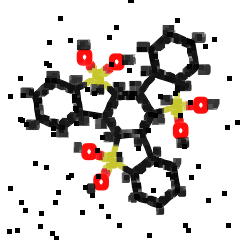 O=S1(=O)c2ccccc2-c2c1c1c(c3c2S(=O)(=O)c2ccccc2-3)S(=O)(=O)c2ccccc2-1